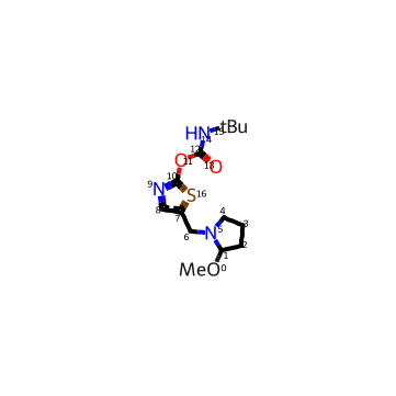 COC1CCCN1Cc1cnc(OC(=O)NC(C)(C)C)s1